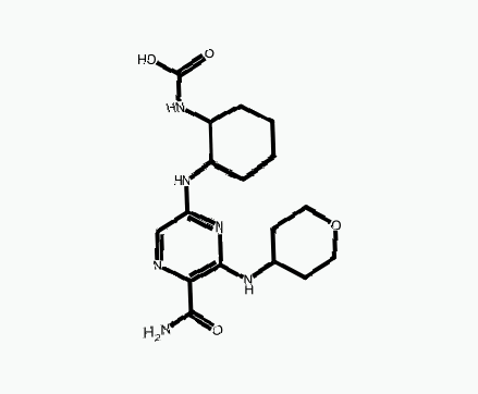 NC(=O)c1ncc(NC2CCCCC2NC(=O)O)nc1NC1CCOCC1